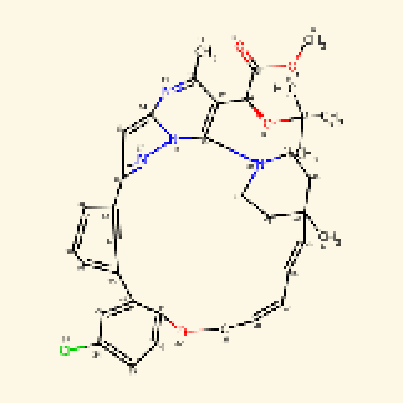 COC(=O)[C@@H](OC(C)(C)C)c1c(C)nc2cc3nn2c1N1CCC(C)(/C=C/C=CCOc2ccc(Cl)cc2-c2cccc-3c2)CC1